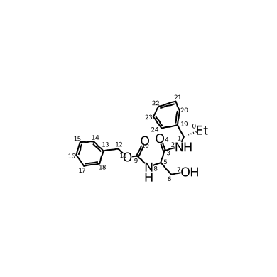 CC[C@H](NC(=O)C(CO)NC(=O)OCc1ccccc1)c1ccccc1